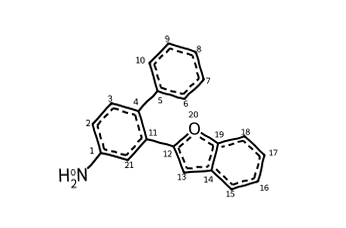 Nc1ccc(-c2ccccc2)c(-c2cc3ccccc3o2)c1